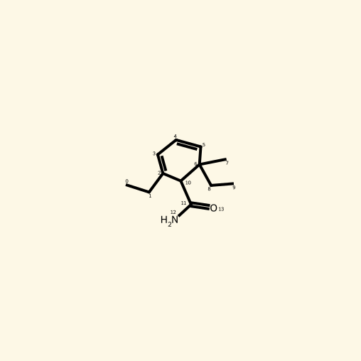 CCC1=CC=CC(C)(CC)C1C(N)=O